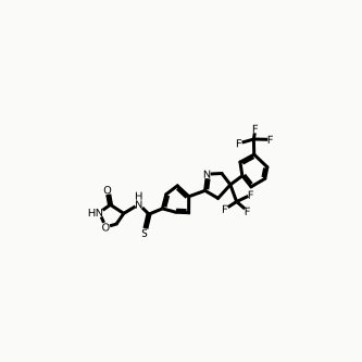 O=C1NOCC1NC(=S)c1ccc(C2=NCC(c3cccc(C(F)(F)F)c3)(C(F)(F)F)C2)cc1